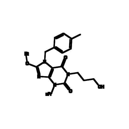 CCCn1c(=O)n(CCCO)c(=O)c2c1nc(OCC)n2Cc1ccc(C)cc1